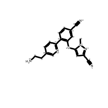 Cn1nc(C#N)cc1Oc1cc(C#N)ccc1-c1ccc(CCN)cn1